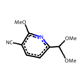 COc1nc(C(OC)OC)ccc1C#N